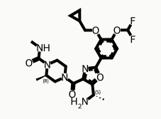 CNC(=O)N1CCN(C(=O)c2nc(-c3ccc(OC(F)F)c(OCC4CC4)c3)oc2[C@H](C)N)C[C@H]1C